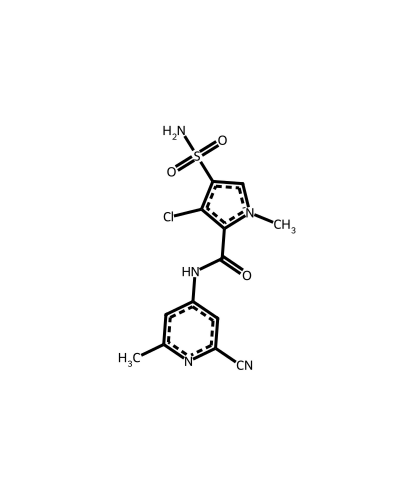 Cc1cc(NC(=O)c2c(Cl)c(S(N)(=O)=O)cn2C)cc(C#N)n1